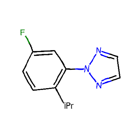 CC(C)c1ccc(F)cc1-n1nccn1